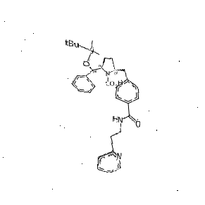 CC(C)(C)[Si](C)(C)O[C@H](c1ccccc1)[C@H]1CC[C@@H](Cc2ccc(C(=O)NCCc3ccccn3)cc2)N1C(=O)O